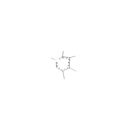 Cc1[c][n+]([O-])c(Br)c(C)c1Br